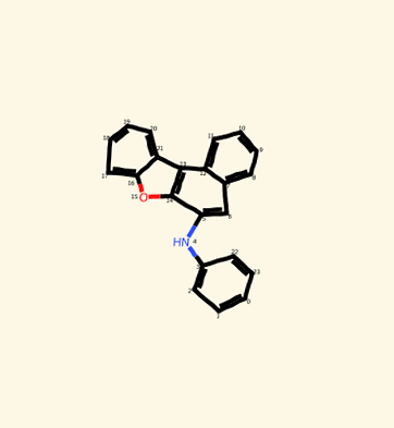 c1ccc(Nc2cc3ccccc3c3c2oc2ccccc23)cc1